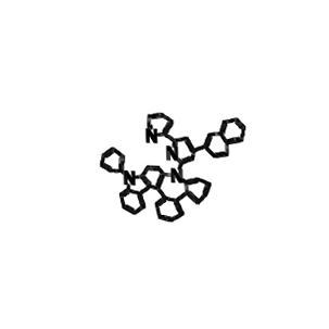 c1ccc(-n2c3ccccc3c3c4c(ccc32)N(c2cc(-c3ccc5ccccc5c3)cc(-c3ccccn3)n2)c2ccccc2-c2ccccc2-4)cc1